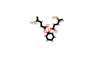 CC(S)CCC(=O)OC1(OC(=O)CCC(C)S)CCCCC1